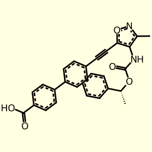 Cc1noc(C#Cc2ccc(-c3ccc(C(=O)O)cc3)cc2)c1NC(=O)O[C@H](C)c1ccccc1